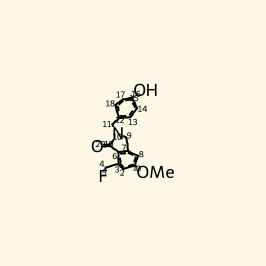 COc1cc(CF)c2c(c1)CN(Cc1ccc(O)cc1)C2=O